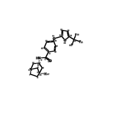 O=C(N[C@@H]1C[C@H]2CCN(C2)C1)c1ccc(Oc2ccc(C(F)(F)F)o2)cc1